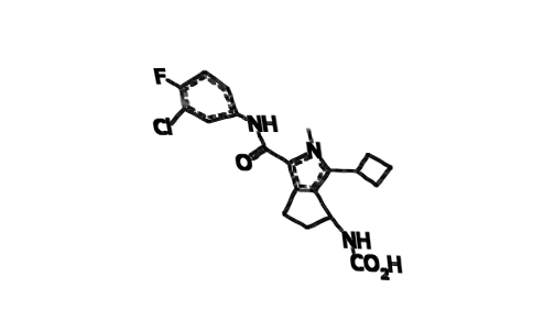 Cn1c(C(=O)Nc2ccc(F)c(Cl)c2)c2c(c1C1CCC1)C(NC(=O)O)CC2